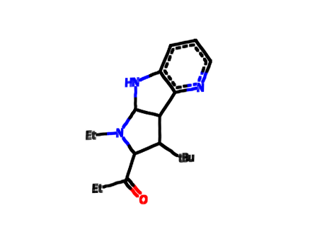 CCC(=O)C1C(C(C)(C)C)C2c3ncccc3NC2N1CC